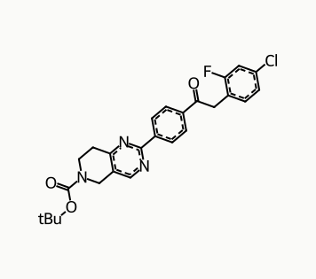 CC(C)(C)OC(=O)N1CCc2nc(-c3ccc(C(=O)Cc4ccc(Cl)cc4F)cc3)ncc2C1